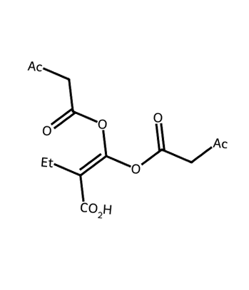 CCC(C(=O)O)=C(OC(=O)CC(C)=O)OC(=O)CC(C)=O